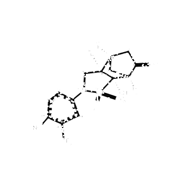 C[C@@]12[C@H]3C[C@H](CC3=O)[C@@H]1CN(c1ccc(C#N)c(C(F)(F)F)c1)S2(=O)=O